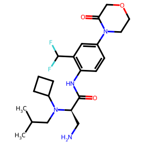 CC(C)CN(C1CCC1)[C@H](CN)C(=O)Nc1ccc(N2CCOCC2=O)cc1C(F)F